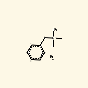 CCC[N+](C)(C)Cc1ccccc1.[Br-]